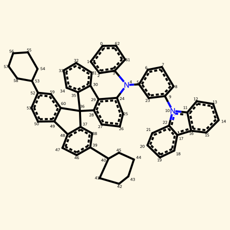 c1ccc(N(c2cccc(-n3c4ccccc4c4ccccc43)c2)c2cccc3c2-c2ccccc2C32c3cc(C4CCCCC4)ccc3-c3ccc(C4CCCCC4)cc32)cc1